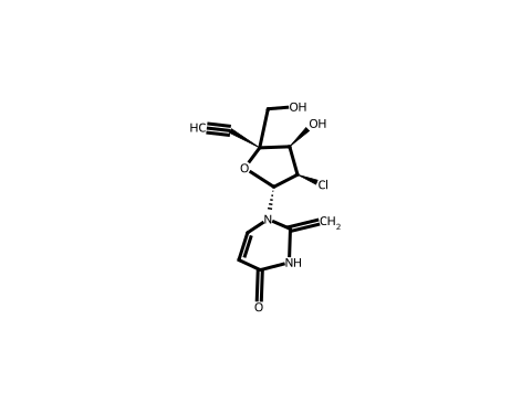 C#C[C@]1(CO)O[C@@H](N2C=CC(=O)NC2=C)[C@H](Cl)[C@@H]1O